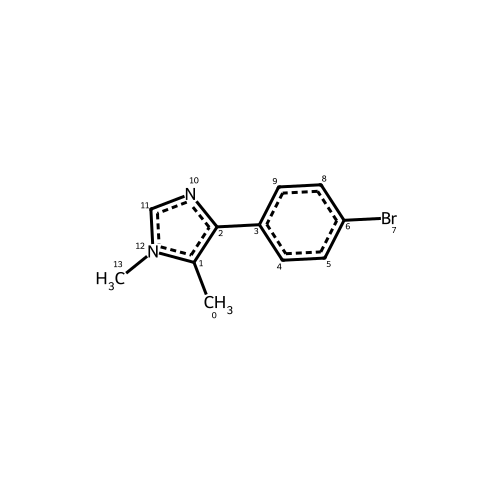 Cc1c(-c2ccc(Br)cc2)ncn1C